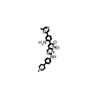 CCn1c(=O)c(-c2ccc(-c3cncc(C)n3)cc2N)cc2cnc(Nc3ccc(C4CCN(C)CC4)cc3)nc21